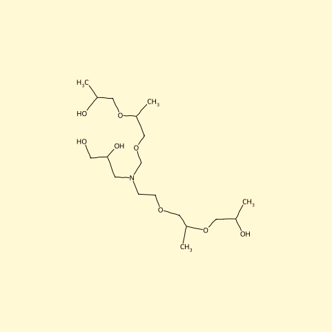 CC(O)COC(C)COCCN(COCC(C)OCC(C)O)CC(O)CO